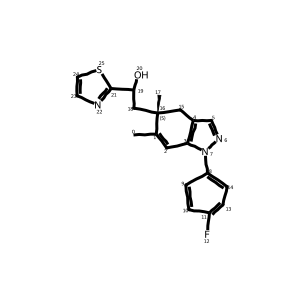 CC1=Cc2c(cnn2-c2ccc(F)cc2)C[C@@]1(C)CC(O)c1nccs1